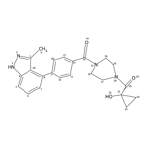 Cc1n[nH]c2cccc(-c3ccc(C(=O)N4CCN(C(=O)C5(O)CC5)CC4)cc3)c12